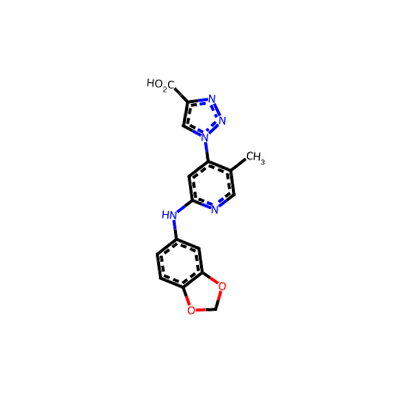 Cc1cnc(Nc2ccc3c(c2)OCO3)cc1-n1cc(C(=O)O)nn1